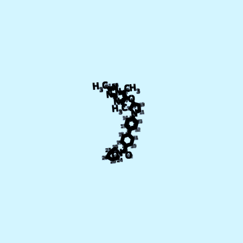 Cc1nc2nc(C)c(OC3CCN(c4ccc(C5CCC(C(=O)N6CC7CC(C6)O7)CC5)cc4)C3)c(C)n2n1